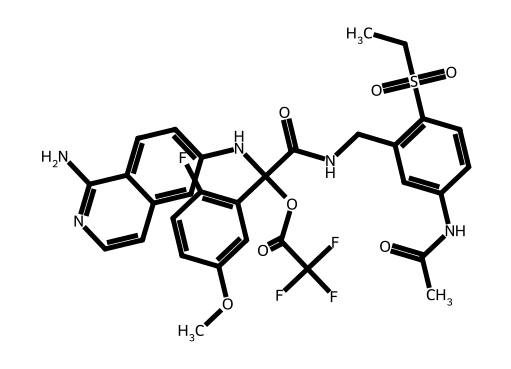 CCS(=O)(=O)c1ccc(NC(C)=O)cc1CNC(=O)C(Nc1ccc2c(N)nccc2c1)(OC(=O)C(F)(F)F)c1cc(OC)ccc1F